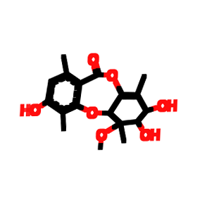 COC1(C)C2Oc3c(C)c(O)cc(C)c3C(=O)OC2=C(C)C(O)C1O